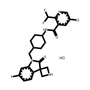 Cl.O=C(NC1CCC(CN2C(=O)C3(CNC3)c3ccc(F)cc32)CC1)c1cc(Cl)cnc1C(F)F